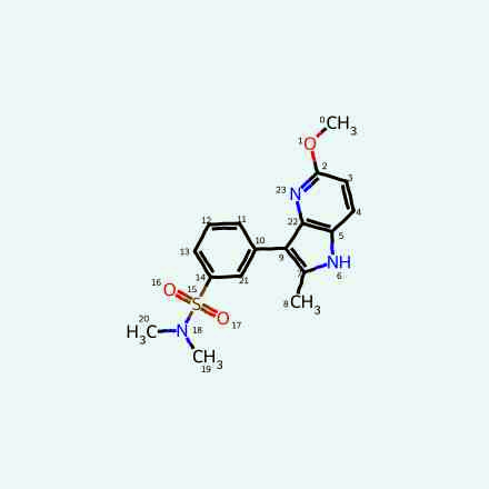 COc1ccc2[nH]c(C)c(-c3cccc(S(=O)(=O)N(C)C)c3)c2n1